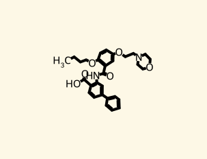 CCCCOc1ccc(OCCN2CCOCC2)cc1C(=O)Nc1cc(-c2ccccc2)ccc1C(=O)O